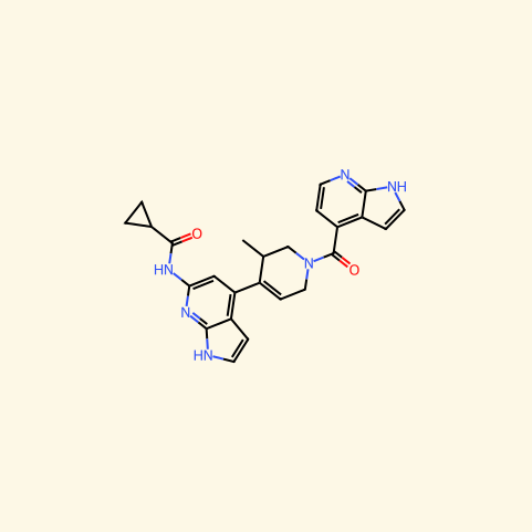 CC1CN(C(=O)c2ccnc3[nH]ccc23)CC=C1c1cc(NC(=O)C2CC2)nc2[nH]ccc12